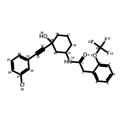 O=C(Cc1ccccc1OC(F)(F)F)NC1CCCC(O)(C#Cc2cccc(Cl)c2)C1